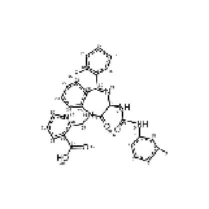 Cc1cccc(NC(=O)N[C@@H]2N=C(c3ccccc3F)c3ccccc3N(Cc3ncccc3C(=O)O)C2=O)c1